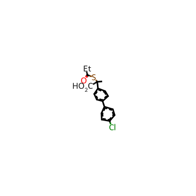 CCC(=O)SC(C)(C(=O)O)c1ccc(-c2ccc(Cl)cc2)cc1